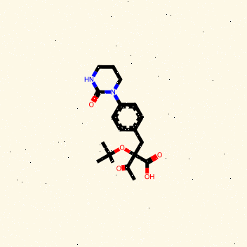 CC(=O)C(Cc1ccc(N2CCCNC2=O)cc1)(OC(C)(C)C)C(=O)O